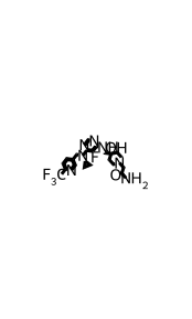 NC(=O)CN1CCC(O)(CNc2ncnc(N(Cc3ccc(C(F)(F)F)nc3)C3CC3)c2F)CC1